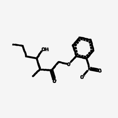 CCCC(O)C(C)C(=O)COc1ccccc1[N+](=O)[O-]